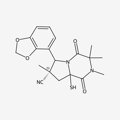 CN1C(=O)C2(S)C[C@](C)(C#N)C(c3cccc4c3OCO4)N2C(=O)C1(C)C